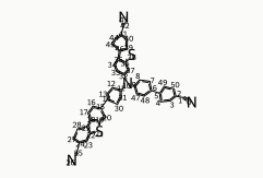 N#Cc1ccc(-c2ccc(N(c3ccc(-c4ccc5c(c4)sc4cc(C#N)ccc45)cc3)c3ccc4c(c3)sc3cc(C#N)ccc34)cc2)cc1